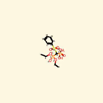 CCOP(=O)(OCC)C(P(=O)(O)O)S(=O)(=O)c1ccccc1